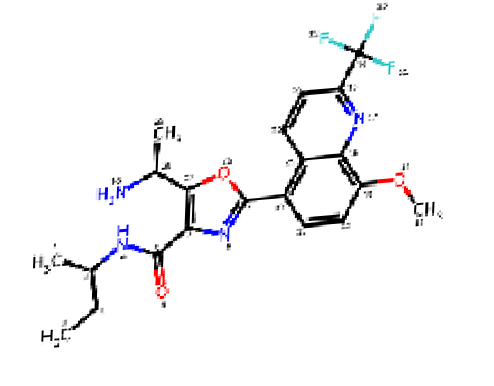 CC[C@@H](C)NC(=O)c1nc(-c2ccc(OC)c3nc(C(F)(F)F)ccc23)oc1[C@H](C)N